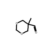 CC1([C]=O)COCOC1